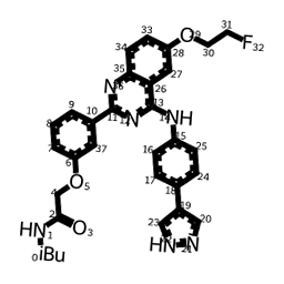 CCC(C)NC(=O)COc1cccc(-c2nc(Nc3ccc(-c4cn[nH]c4)cc3)c3cc(OCCF)ccc3n2)c1